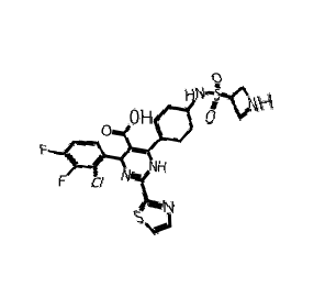 O=C(O)C1=C(C2CCC(NS(=O)(=O)C3CNC3)CC2)NC(c2nccs2)=NC1c1ccc(F)c(F)c1Cl